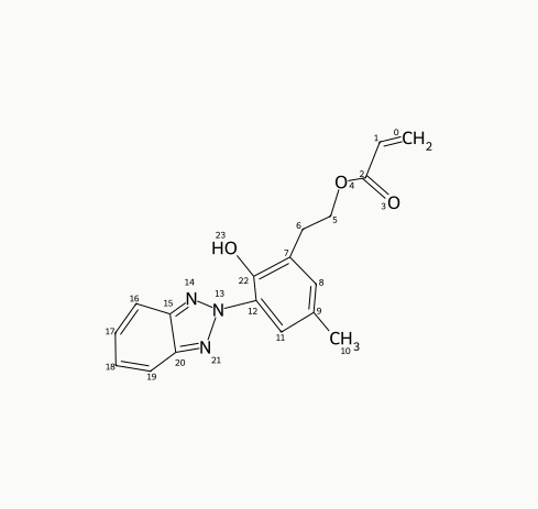 C=CC(=O)OCCc1cc(C)cc(-n2nc3ccccc3n2)c1O